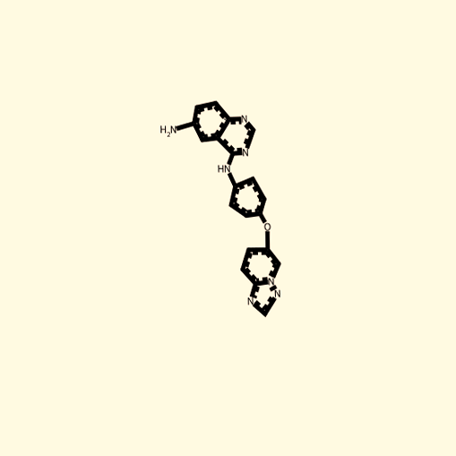 Nc1ccc2ncnc(Nc3ccc(Oc4ccc5ncnn5c4)cc3)c2c1